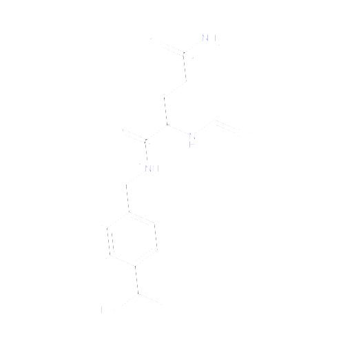 CC(C)c1ccc(CNC(=O)C(CCC(N)=O)NC=S)cc1